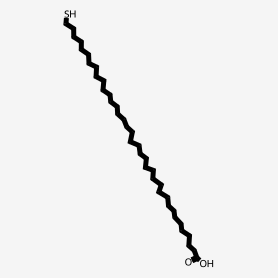 O=C(O)CCCCCCCCCCCCCCCCCCCCCCCCCCCCCCCCCCCCS